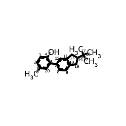 Cc1ccc(O)c(-c2ccc3c(c2)CC(C(C)(C)C)C3)c1